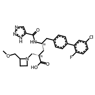 COCC1CCN1C[C@H](C[C@@H](Cc1ccc(-c2cc(Cl)ccc2F)cc1)NC(=O)c1cnn[nH]1)C(=O)O